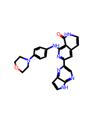 O=c1[nH]ccc2cc(-c3cnc4[nH]ccc4n3)nc(Nc3ccc(N4CCOCC4)cc3)c12